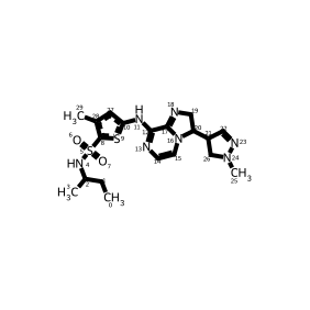 CCC(C)NS(=O)(=O)c1sc(NC2=NC=CN3C2=NCC3C2C=NN(C)C2)cc1C